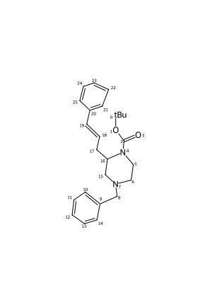 CC(C)(C)OC(=O)N1CCN(Cc2ccccc2)CC1CC=Cc1ccccc1